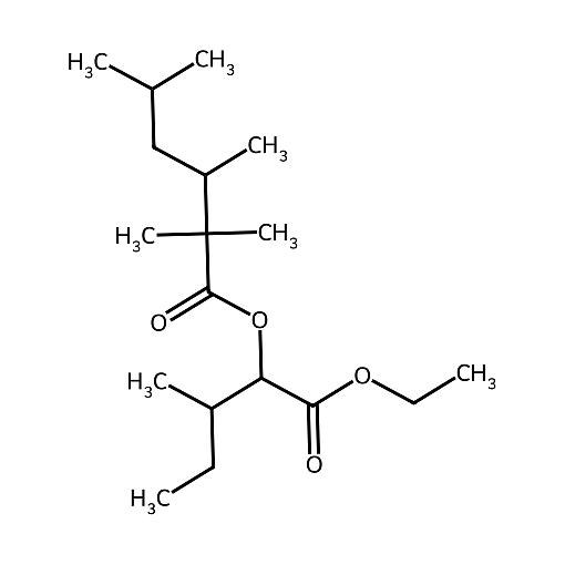 CCOC(=O)C(OC(=O)C(C)(C)C(C)CC(C)C)C(C)CC